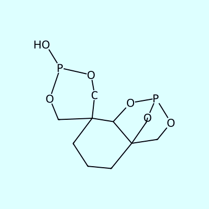 OP1OCC2(CCCC34COP(OC3)OC24)CO1